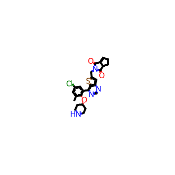 Cc1cc(Cl)cc(-c2ncnc3cc(CN4C(=O)C5=CCCC5C4=O)sc23)c1OC1CCNCC1